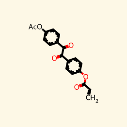 C=CC(=O)Oc1ccc(C(=O)C(=O)c2ccc(OC(C)=O)cc2)cc1